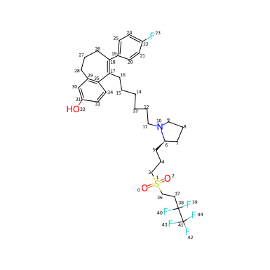 O=S(=O)(CCC[C@@H]1CCCN1CCCCCCC1=C(c2ccc(F)cc2)CCCc2cc(O)ccc21)CCC(F)(F)C(F)(F)F